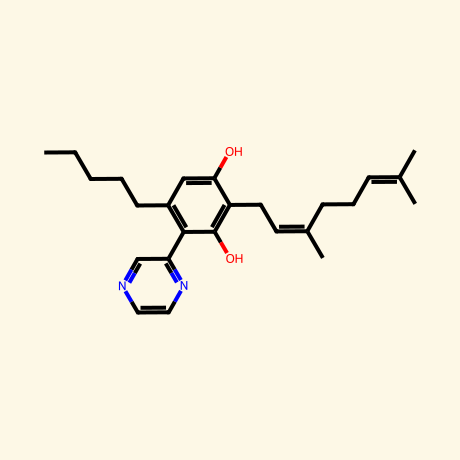 CCCCCc1cc(O)c(CC=C(C)CCC=C(C)C)c(O)c1-c1cnccn1